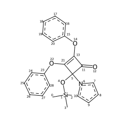 C[Si](C)(C)OC1(n2cccc2)C(=O)C(Oc2ccccc2)=C1Oc1ccccc1